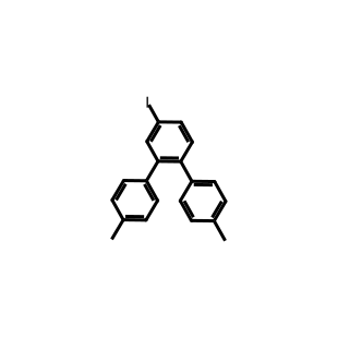 Cc1ccc(-c2ccc(I)cc2-c2ccc(C)cc2)cc1